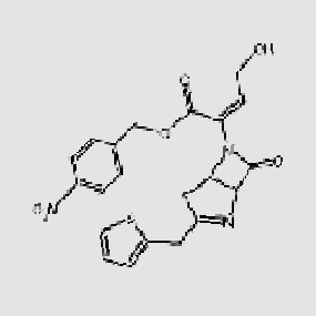 O=C(OCc1ccc([N+](=O)[O-])cc1)C(=CCO)N1C(=O)C2N=C(Cc3cccs3)SC21